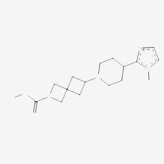 COC(=O)N1CC2(CC(N3CCC(c4nccn4C)CC3)C2)C1